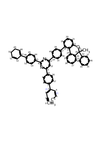 C#C/C=C(\C=C/C)c1ccc(-c2cc(-c3ccc(-c4cccc5c4-c4ccccc4C(C)(c4ccccc4)O5)cc3)nc(-c3ccc(C4=CCCC=C4)cc3)n2)cc1